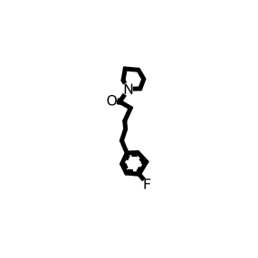 O=C(CCCCc1ccc(F)cc1)N1CCCCC1